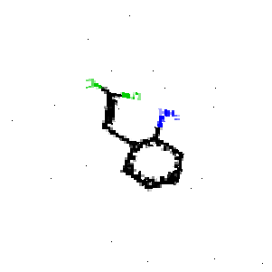 Nc1ccccc1C=C(Cl)Cl